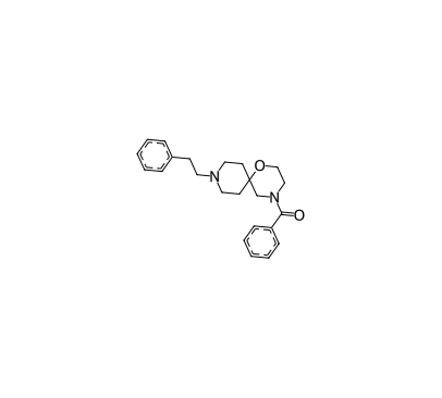 O=C(c1ccccc1)N1CCOC2(CCN(CCc3ccccc3)CC2)C1